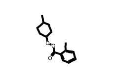 Cc1ccccc1C(=O)OO[C]1CCC(C)CC1